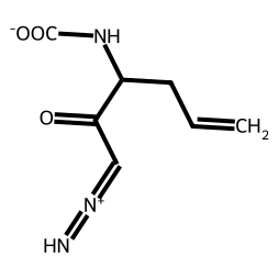 C=CCC(NC(=O)[O-])C(=O)C=[N+]=N